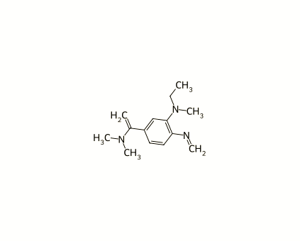 C=Nc1ccc(C(=C)N(C)C)cc1N(C)CC